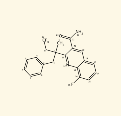 CC(Cc1ccccc1)(CC(F)(F)F)c1nc2c(F)cccc2cc1C(N)=O